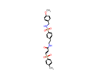 COc1ccc(CNS(=O)(=O)c2ccc(CCNC(=O)/C=C/S(=O)(=O)c3ccc(C)cc3)cc2)cc1